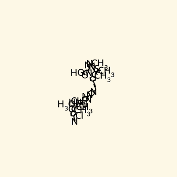 Cc1sc2c(c1C)C(c1ccc(C#CCN3CCN(c4ncc(C(=O)NC5C(C)(C)C(Oc6ccc(C#N)c(Cl)c6)C5(C)C)cn4)CC3)cc1)=N[C@@H](CC(=O)O)c1nnc(C)n1-2